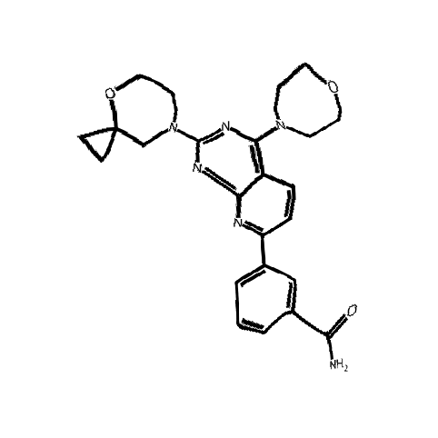 NC(=O)c1cccc(-c2ccc3c(N4CCOCC4)nc(N4CCOC5(CC5)C4)nc3n2)c1